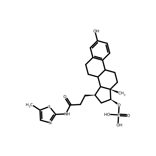 Cc1cnc(NC(=O)CC[C@@H]2C[C@H](OP(=O)(O)O)[C@@]3(C)CCC4c5ccc(O)cc5CCC4C23)s1